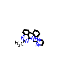 Cc1nc(NCc2ncccn2)c2c(-c3ccccc3)cccc2n1